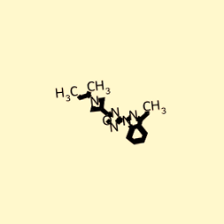 CCc1nn(-c2noc(C3CN(C(C)CC)C3)n2)c2ccccc12